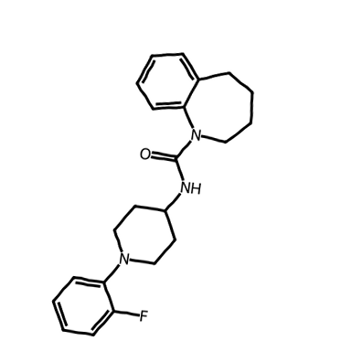 O=C(NC1CCN(c2ccccc2F)CC1)N1CCCCc2ccccc21